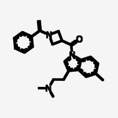 C=C(c1ccccc1)N1CC(C(=O)n2cc(CCN(C)C)c3cc(C)ccc32)C1